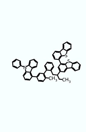 CCC(Cc1ccccc1-c1cc(-c2cccc3c2c2ccccc2n3-c2ccccc2)ccc1C)c1cc(-c2cccc3c2sc2ccccc23)c2sc3ccccc3c2c1